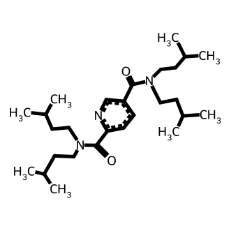 CC(C)CCN(CCC(C)C)C(=O)c1ccc(C(=O)N(CCC(C)C)CCC(C)C)nc1